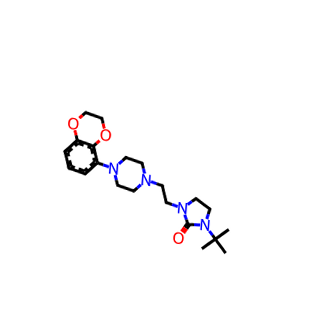 CC(C)(C)N1CCN(CCN2CCN(c3cccc4c3OCCO4)CC2)C1=O